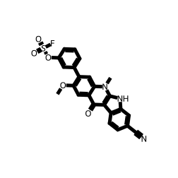 COc1cc2c(=O)c3c4ccc(C#N)cc4[nH]c3n(C)c2cc1-c1cccc(OS(=O)(=O)F)c1